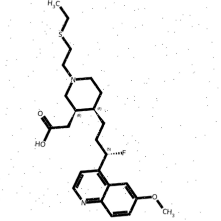 CCSCCN1CC[C@@H](CC[C@H](F)c2ccnc3ccc(OC)cc23)[C@@H](CC(=O)O)C1